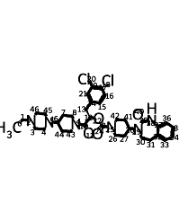 CCN1CCN(C2CCN(C(=O)[C@@H](Cc3ccc(Cl)c(Cl)c3)OC(=O)N3CCC(N4CCc5ccccc5NC4=O)CC3)CC2)CC1